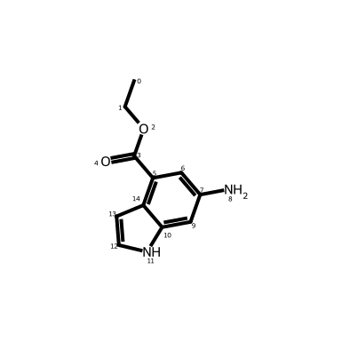 CCOC(=O)c1cc(N)cc2[nH]ccc12